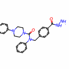 NNC(=O)c1ccc(CN(C(=O)N2CCN(c3ccccc3)CC2)c2ccccc2)cc1